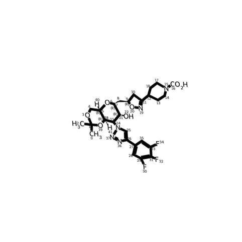 CC1(C)OC[C@H]2O[C@H](C[C@H]3CC(C4CCN(C(=O)O)CC4)=NO3)[C@H](O)C(n3cc(-c4cc(F)c(F)c(F)c4)nn3)[C@H]2O1